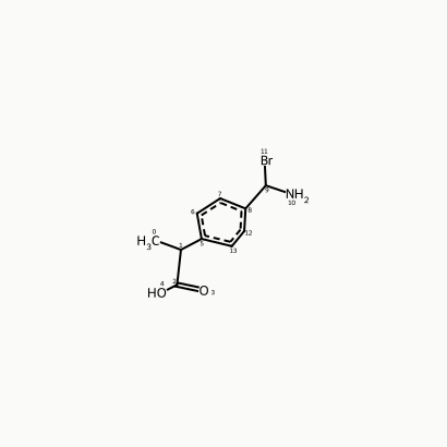 CC(C(=O)O)c1ccc(C(N)Br)cc1